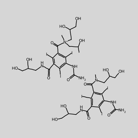 CC(O)C[N+](C)(CC(O)CO)C(=O)c1c(I)c(NC(N)=O)c(I)c(C(=O)NCC(O)CO)c1I.CN(CC(O)CO)C(=O)c1c(I)c(NC(N)=O)c(I)c(C(=O)NCC(O)CO)c1I